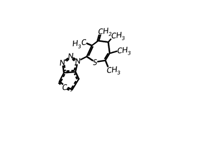 C=C1C(C)=C(n2nnc3ccccc32)SC(C)=C(C)C1C